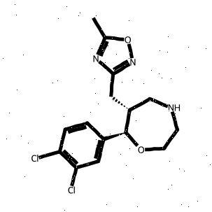 Cc1nc(C[C@@H]2CNCCO[C@H]2c2ccc(Cl)c(Cl)c2)no1